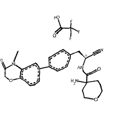 CN1C(=O)COc2ccc(-c3ccc(C[C@@H](C#N)NC(=O)C4(N)CCOCC4)cc3)cc21.O=C(O)C(F)(F)F